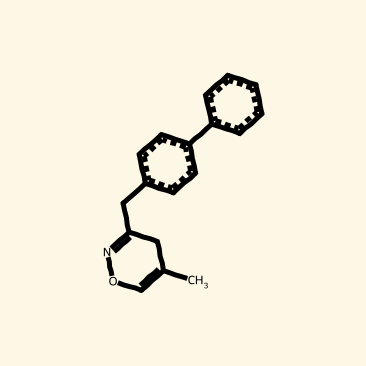 CC1=CON=C(Cc2ccc(-c3ccccc3)cc2)C1